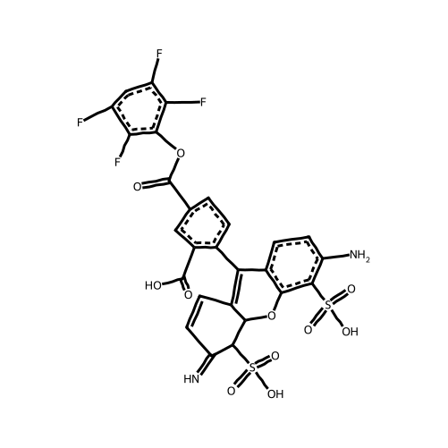 N=C1C=CC2=C(c3ccc(C(=O)Oc4c(F)c(F)cc(F)c4F)cc3C(=O)O)c3ccc(N)c(S(=O)(=O)O)c3OC2C1S(=O)(=O)O